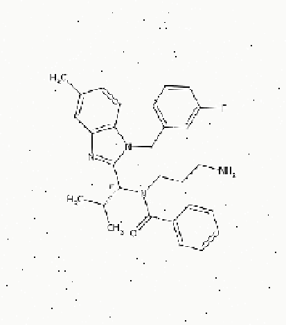 Cc1ccc2c(c1)nc([C@@H](C(C)C)N(CCCN)C(=O)c1ccccc1)n2Cc1cccc(F)c1